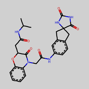 CC(C)NC(=O)CC1Oc2ccccc2N(CC(=O)Nc2ccc3c(c2)CC2(C3)NC(=O)NC2=O)C1=O